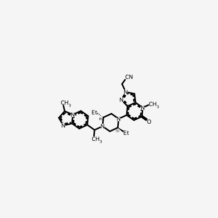 CC[C@H]1CN(C(C)c2ccn3c(C)cnc3c2)[C@H](CC)CN1c1cc(=O)n(C)c2cn(CC#N)nc12